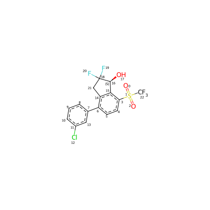 O=S(=O)(c1ccc(-c2cccc(Cl)c2)c2c1[C@H](O)C(F)(F)C2)C(F)(F)F